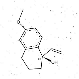 C=C[C@]1(O)CCCc2cc(OC)ccc21